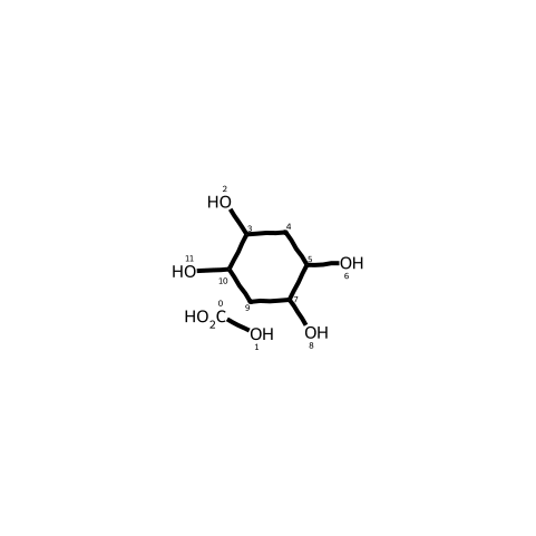 O=C(O)O.OC1CC(O)C(O)CC1O